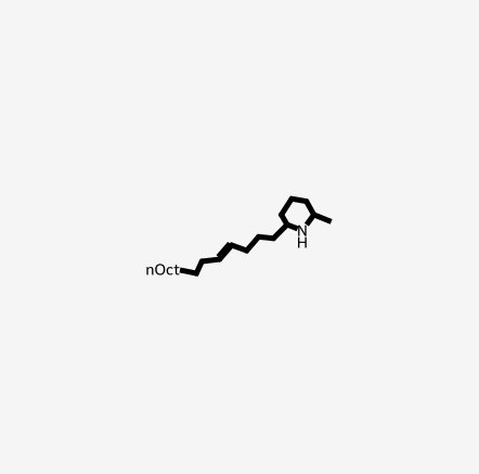 CCCCCCCCCC/C=C/CCCC1CCCC(C)N1